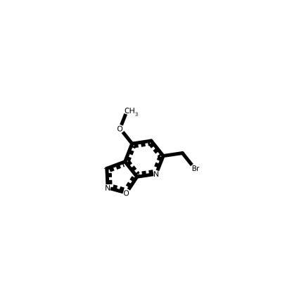 COc1cc(CBr)nc2on[c]c12